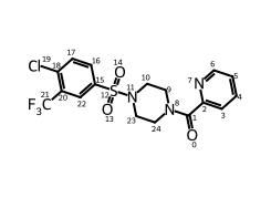 O=C(c1ccccn1)N1CCN(S(=O)(=O)c2ccc(Cl)c(C(F)(F)F)c2)CC1